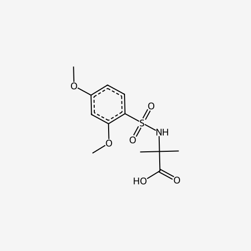 COc1ccc(S(=O)(=O)NC(C)(C)C(=O)O)c(OC)c1